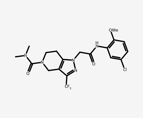 COc1ccc(Cl)cc1NC(=O)Cn1nc(C(F)(F)F)c2c1CCN(C(=O)N(C)C)C2